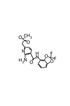 CS(=O)(=O)Cc1ccc(C(=O)Nc2cccc3c2OC(F)(F)O3)c(N)n1